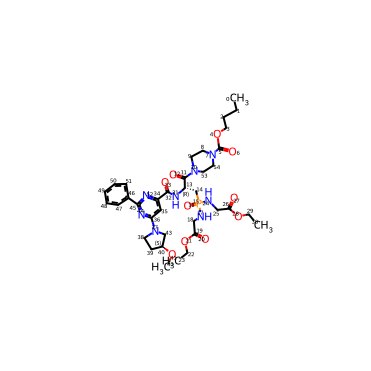 CCCCOC(=O)N1CCN(C(=O)[C@H](CP(=O)(NCC(=O)OCC)NCC(=O)OCC)NC(=O)c2cc(N3CC[C@H](OC)C3)nc(-c3ccccc3)n2)CC1